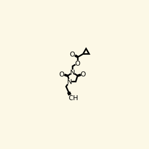 C#CCN1CC(=O)N(COC(=O)C2CC2)C1=O